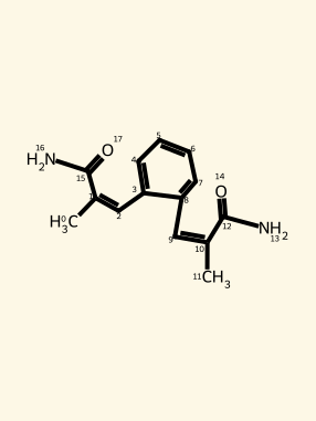 CC(=Cc1ccccc1C=C(C)C(N)=O)C(N)=O